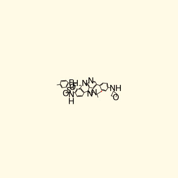 Cc1ccc(F)c(S(=O)(=O)Nc2ccc(-c3nn(C(C)C)c4c(-c5ccc(NC6COC6)cc5)cnc(N)c34)cc2F)c1